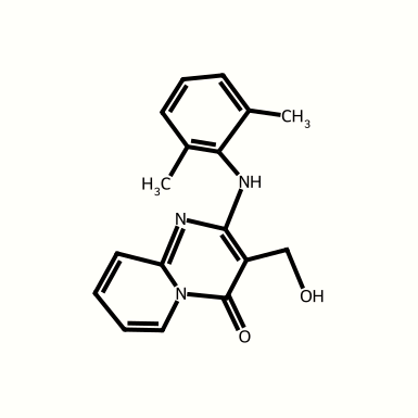 Cc1cccc(C)c1Nc1nc2ccccn2c(=O)c1CO